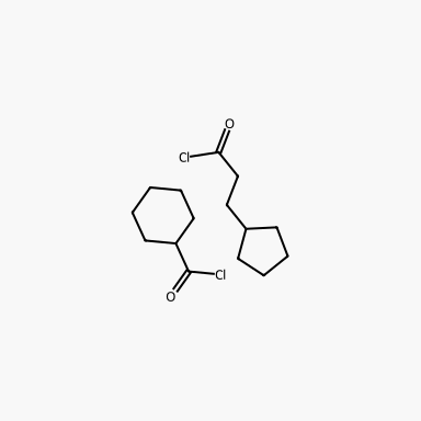 O=C(Cl)C1CCCCC1.O=C(Cl)CCC1CCCC1